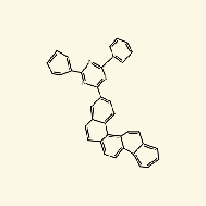 c1ccc(-c2nc(-c3ccccc3)nc(-c3ccc4c(ccc5ccc6c7ccccc7ccc6c54)c3)n2)cc1